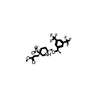 COC(=O)CC[C@@]1([N+](=O)[O-])CC[C@H](CO[C@H](C)c2cc(C(F)(F)F)cc(C(F)(F)F)c2)NC1